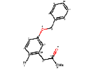 CCc1ccc(OCc2ccccc2)cc1CC(=O)OC